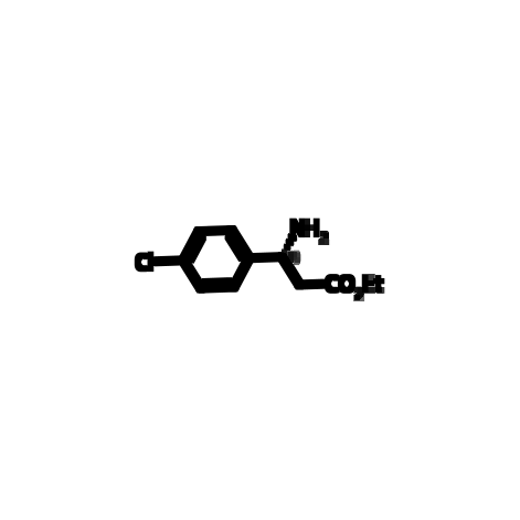 CCOC(=O)C[C@@H](N)c1ccc(Cl)cc1